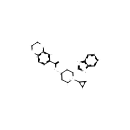 S=C(N[C@@H]1CCN(C2CC2)[C@@H](c2nc3ccccc3[nH]2)C1)c1ccc2c(c1)OCCO2